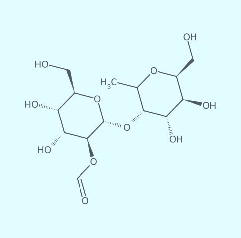 CC1O[C@@H](CO)[C@@H](O)[C@H](O)[C@@H]1O[C@H]1O[C@H](CO)[C@@H](O)[C@@H](O)[C@@H]1OC=O